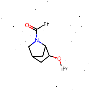 CCC(=O)N1CC2CC(OC(C)C)C1C2